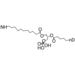 CCCCCCCCCCCCCCC(=O)O[C@H](COC(=O)CCCCCCCCCCNC(C)=O)COP(=O)(O)O